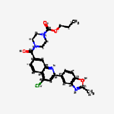 CCCOC(=O)N1CCN(C(=O)c2ccc3c(Cl)cc(-c4ccc5oc(C)nc5c4)nc3c2)CC1